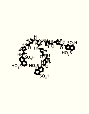 Cn1cc(Nc2nc(Nc3cc(C(=O)Nc4cc(C(=O)Nc5ccc6c(S(=O)(=O)O)cccc6c5S(=O)(=O)O)n(C)c4)n(C)c3)nc(Nc3cc(C(=O)Nc4cc(C(=O)Nc5ccc6c(S(=O)(=O)O)cccc6c5S(=O)(=O)O)n(C)c4)n(C)c3)n2)cc1C(=O)Nc1cc(C(=O)Nc2ccc3c(S(=O)(=O)O)cccc3c2S(=O)(=O)O)n(C)c1